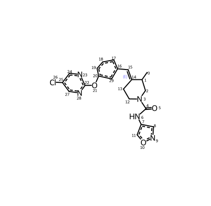 CC1CN(C(=O)Nc2cnoc2)CC/C1=C\c1cccc(Oc2ncc(Cl)cn2)c1